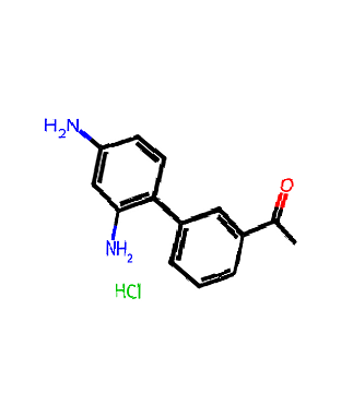 CC(=O)c1cccc(-c2ccc(N)cc2N)c1.Cl